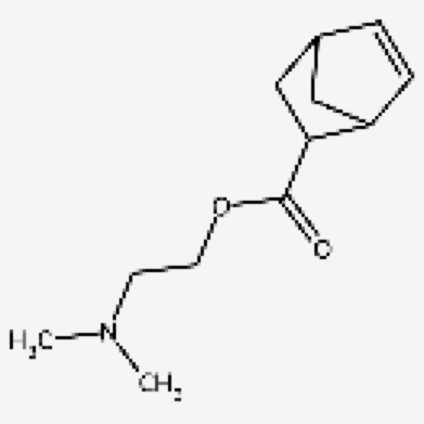 CN(C)CCOC(=O)C1CC2C=CC1C2